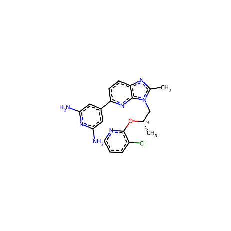 Cc1nc2ccc(-c3cc(N)nc(N)c3)nc2n1C[C@H](C)Oc1ncccc1Cl